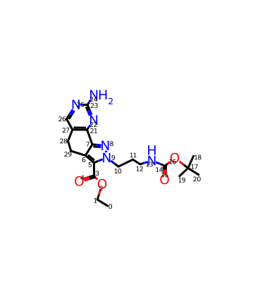 CCOC(=O)c1c2c(nn1CCCNC(=O)OC(C)(C)C)-c1nc(N)ncc1CC2